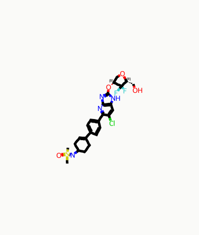 CS(C)(=O)=NC1CC=C(c2ccc(-c3nc4nc(O[C@@H]5CO[C@H](CO)C5(F)F)[nH]c4cc3Cl)cc2)CC1